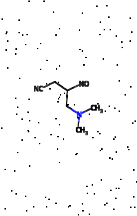 CN(C)CC(CC#N)N=O